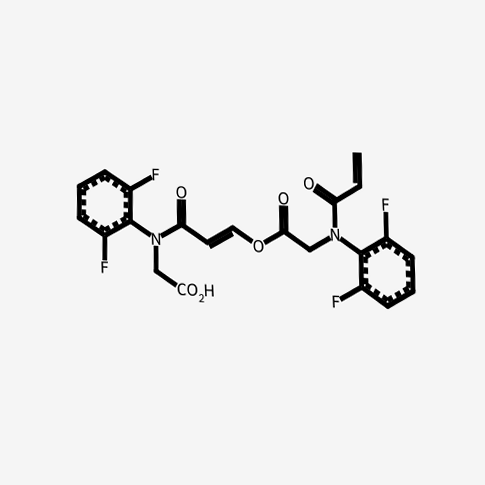 C=CC(=O)N(CC(=O)O/C=C/C(=O)N(CC(=O)O)c1c(F)cccc1F)c1c(F)cccc1F